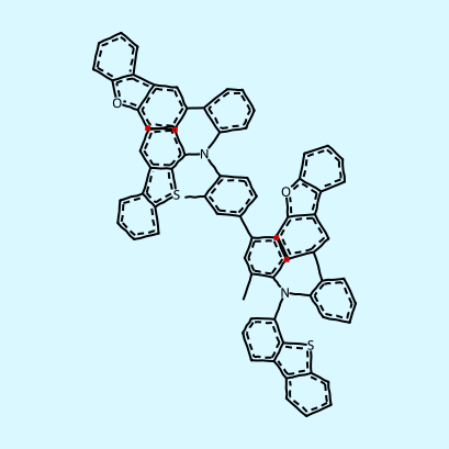 Cc1cc(-c2ccc(N(c3ccccc3-c3ccc4oc5ccccc5c4c3)c3cccc4c3sc3ccccc34)c(C)c2)ccc1N(c1ccccc1-c1ccc2oc3ccccc3c2c1)c1cccc2c1sc1ccccc12